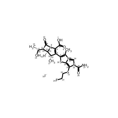 Cc1c(C2=C(C(=O)O)N3C(=O)[C@H]([C@@H](C)O)[C@@H]3[C@H]2C)sc2c(SCCF)n(C(N)=O)c[n+]12.[I-]